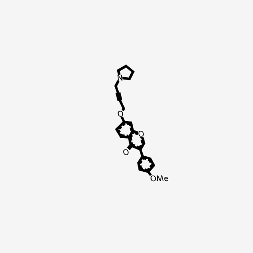 COc1ccc(-c2coc3cc(OCC#CCN4CCCC4)ccc3c2=O)cc1